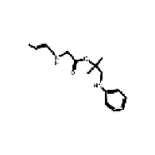 CC=CNCC(=O)OC(C)(C)CNc1ccccc1